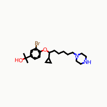 CC(C)(O)c1ccc(OC(CCCCCN2CCNCC2)C2CC2)c(Br)c1